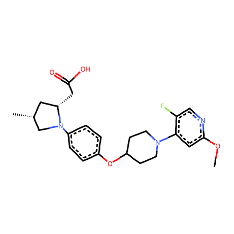 COc1cc(N2CCC(Oc3ccc(N4C[C@H](C)C[C@@H]4CC(=O)O)cc3)CC2)c(F)cn1